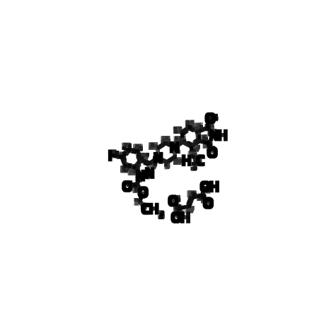 CCOC(=O)n1nc(N2CCN(c3ccc4c(c3CC)C(=O)NC4=O)CC2)c2ccc(F)cc21.O=C(O)C=CC(=O)O